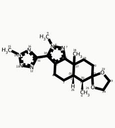 C[C@H]1[C@@H]2CCc3c(nn(C)c3-c3nnn(C)n3)C2(C)CCC12OCCO2